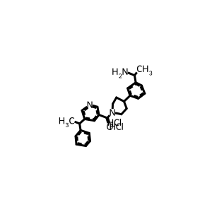 CC(N)c1cccc(C2CCN(C(=O)c3cncc(C(C)c4ccccc4)c3)CC2)c1.Cl.Cl